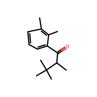 C[C](C(=O)c1cccc(C)c1C)C(C)(C)C